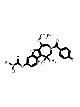 CCOC(=O)OC1=CN(C(=O)c2ccc(F)cc2)CC(C)(C)c2c1[nH]c1cc(OC(=O)N(CC)CC)ccc21